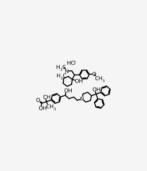 CC(C)(C(=O)O)c1ccc(C(O)CCCN2CCC(C(O)(c3ccccc3)c3ccccc3)CC2)cc1.COc1ccc(C(CN(C)C)C2(O)CCCCC2)cc1.Cl